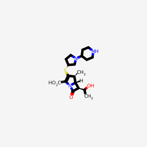 CC(O)[C@H]1C(=O)N2C(C(=O)O)=C(S[C@@H]3CCN(C4CCNCC4)C3)[C@H](C)[C@H]12